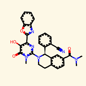 CN(C)C(=O)c1ccc2c(c1)[C@H](c1ccccc1C#N)N(c1nc(-c3nc4ccccc4o3)c(O)c(=O)n1C)CC2